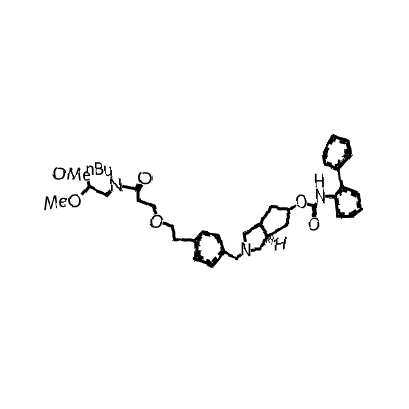 CCCCN(CC(OC)OC)C(=O)CCOCCc1ccc(CN2CC3CC(OC(=O)Nc4ccccc4-c4ccccc4)C[C@H]3C2)cc1